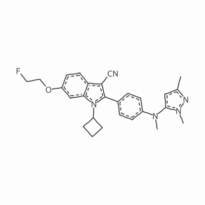 Cc1cc(N(C)c2ccc(-c3c(C#N)c4ccc(OCCF)cc4n3C3CCC3)cc2)n(C)n1